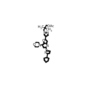 CC(=O)OCC(C)(C)Cn1cc(-c2cc3nc(-n4ccc(-c5ccccc5)n4)cc(N4CCOCC4)c3o2)cn1